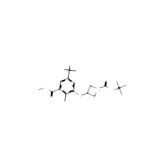 COC(=O)c1cc(C(F)(F)F)cc(NC2CN(C(=O)OC(C)(C)C)C2)c1C